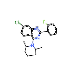 CC1CCCC(C)N1c1nc(-c2ccccc2F)nc2cc(Cl)ccc12